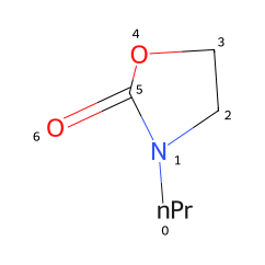 CCCN1CCOC1=O